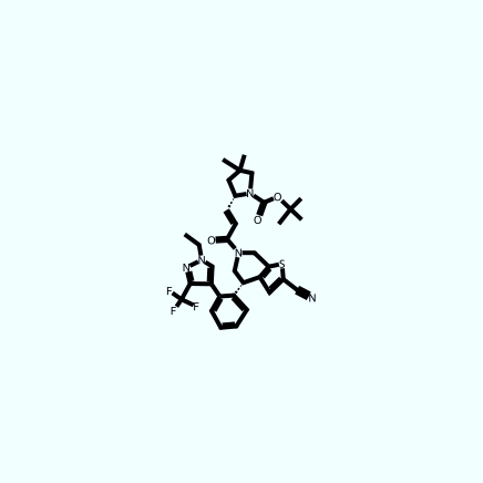 CCn1cc(-c2ccccc2[C@@H]2CN(C(=O)/C=C/[C@@H]3CC(C)(C)CN3C(=O)OC(C)(C)C)Cc3sc(C#N)cc32)c(C(F)(F)F)n1